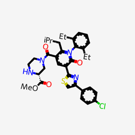 CCc1cccc(CC)c1-n1c(CC(C)C)c(C(=O)N2CCN[C@@H](C(=O)OC)C2)cc(-c2nc(-c3ccc(Cl)cc3)cs2)c1=O